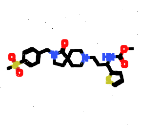 COC(=O)NC(CCN1CCC2(CC1)CCN(Cc1ccc(S(C)(=O)=O)cc1)C2=O)c1cccs1